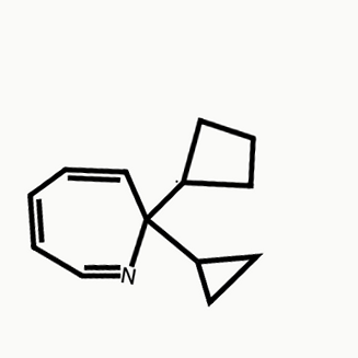 C1=CC=NC([C]2CCC2)(C2CC2)C=C1